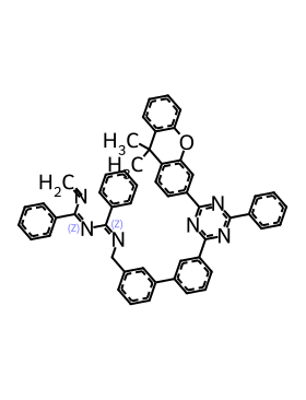 C=N/C(=N\C(=N/Cc1cccc(-c2cccc(-c3nc(-c4ccccc4)nc(-c4ccc5c(c4)Oc4ccccc4C5(C)C)n3)c2)c1)c1ccccc1)c1ccccc1